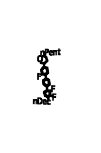 CCCCCCCCCCc1ccc(-c2ccc(-c3ccc(C4CCC(CCCCC)OC4)cc3F)cc2)c(F)c1F